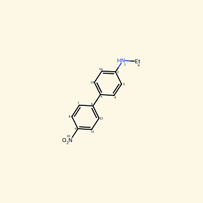 CCNc1ccc(-c2ccc([N+](=O)[O-])cc2)cc1